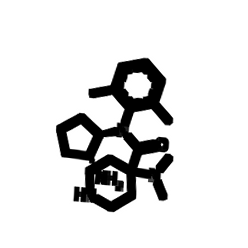 Cc1cccc(C)c1N(C(=O)C1(N(C)C)CCNCC1)[C@@H]1CCC[C@H]1N